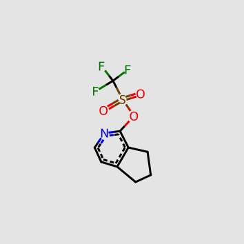 O=S(=O)(Oc1nccc2c1CCC2)C(F)(F)F